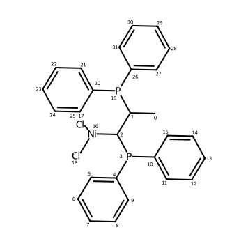 CC([CH](P(c1ccccc1)c1ccccc1)[Ni]([Cl])[Cl])P(c1ccccc1)c1ccccc1